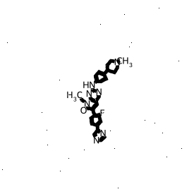 CCn1c(=O)c(-c2ccc(-c3cnccn3)cc2F)cc2cnc(Nc3ccc(C4CCN(C)CC4)cc3)nc21